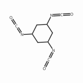 O=C=NC1CC(N=C=O)CC(N=C=O)C1